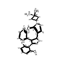 Cc1c(-c2onc(-c3c(F)cccc3Cl)c2-c2cnccn2)cnn1[C@H]1C[C@@](C)(O)C1